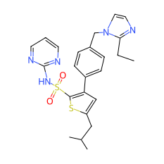 CCc1nccn1Cc1ccc(-c2cc(CC(C)C)sc2S(=O)(=O)Nc2ncccn2)cc1